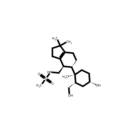 CC1(C)CCC2=C1CC[C@H]([C@@]1(C)CC[C@H](O)C[C@@H]1CO)[C@H]2CNS(C)(=O)=O